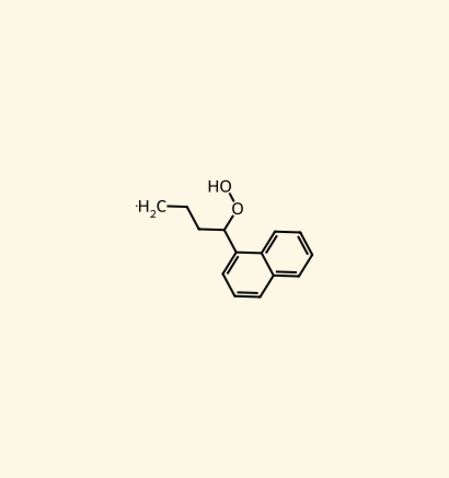 [CH2]CCC(OO)c1cccc2ccccc12